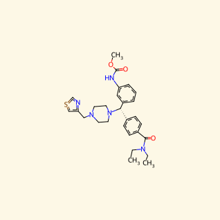 CCN(CC)C(=O)c1ccc([C@@H](c2cccc(NC(=O)OC)c2)N2CCN(Cc3cscn3)CC2)cc1